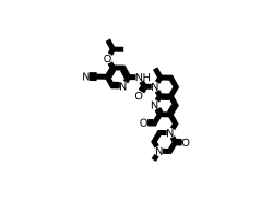 CC(C)Oc1cc(NC(=O)N2c3nc(C=O)c(CN4CCN(C)CC4=O)cc3CCC2C)ncc1C#N